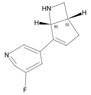 Fc1cncc(C2=CC[C@H]3CN[C@@H]23)c1